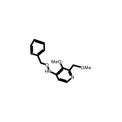 COCc1nccc(NOCc2ccccc2)c1OC